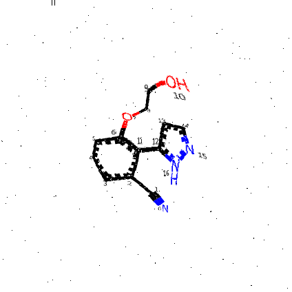 N#Cc1cccc(OCCO)c1-c1ccn[nH]1